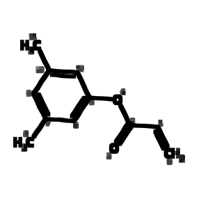 C=CC(=O)Oc1cc(C)cc(C)c1